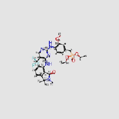 CCOP(=O)(Cc1ccc(Nc2ncc(C(F)(F)F)c(Nc3cccc4c3C(=O)N(C)C4(C)C)n2)c(OC)c1)OCC